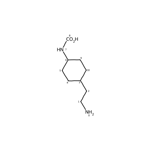 NCCC1CCC(NC(=O)O)CC1